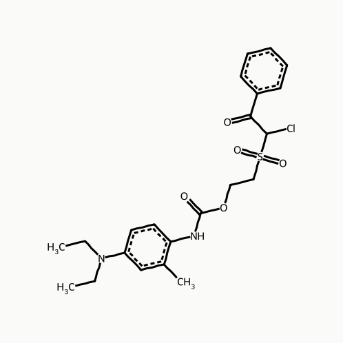 CCN(CC)c1ccc(NC(=O)OCCS(=O)(=O)C(Cl)C(=O)c2ccccc2)c(C)c1